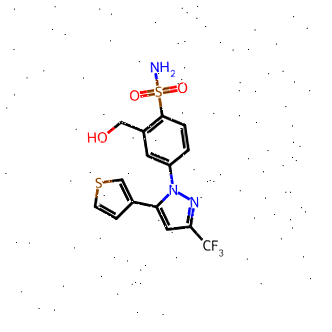 NS(=O)(=O)c1ccc(-n2nc(C(F)(F)F)cc2-c2ccsc2)cc1CO